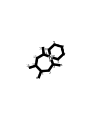 CC1CC(C)[N+]2(CCCCC2)C(C)CC1C